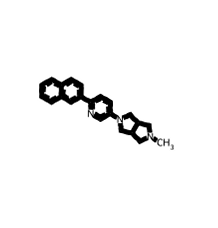 CN1CC2CN(c3ccc(-c4ccc5ccccc5c4)nc3)CC2C1